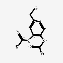 CC(C)Cc1ccc(OC(=O)C(C)C)c(OC(=O)C(C)C)c1